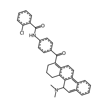 CN(C)C1C=c2ccccc2=c2ccc3c(c21)CCCC=3C(=O)c1ccc(NC(=O)c2ccccc2Cl)cc1